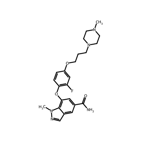 CN1CCN(CCCOc2ccc(Oc3cc(C(N)=O)cc4cnn(C)c34)c(F)c2)CC1